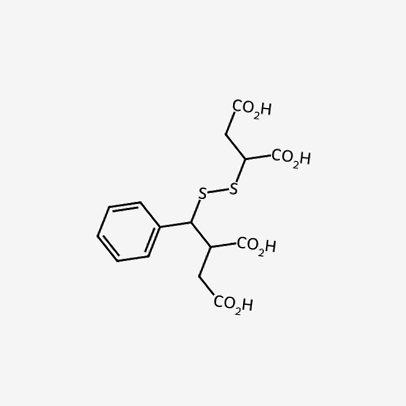 O=C(O)CC(SSC(c1ccccc1)C(CC(=O)O)C(=O)O)C(=O)O